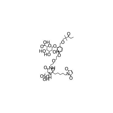 CCC(=O)C(C)(C)COCc1ccc(OCCOCCNC(=O)[C@@H](CS(=O)(=O)O)NC(=O)CCCCCN2C(=O)C=CC2=O)cc1O[C@@H]1O[C@H](C(=O)O)[C@@H](O)[C@H](O)[C@H]1O